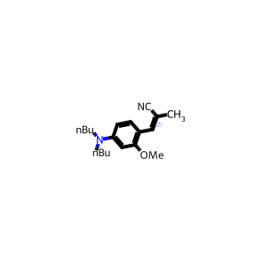 CCCCN(CCCC)c1ccc(/C=C(/C)C#N)c(OC)c1